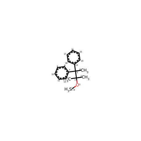 CC(C)(O[SiH3])C(C)(c1ccccc1)c1ccccc1